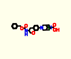 O=C(NC1COc2cc(N3CC4CN(C(=O)O)CC(C3)C4(F)F)ccc2C1)OCc1ccccc1